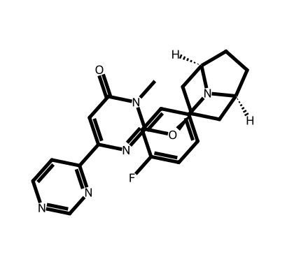 Cn1c(O[C@H]2C[C@H]3CC[C@@H](C2)N3c2ccc(F)cc2)nc(-c2ccncn2)cc1=O